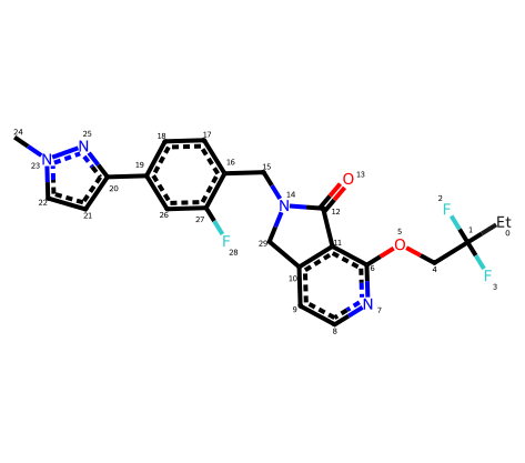 CCC(F)(F)COc1nccc2c1C(=O)N(Cc1ccc(-c3ccn(C)n3)cc1F)C2